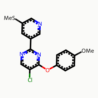 COc1ccc(Oc2nc(-c3cncc(SC)c3)ncc2Cl)cc1